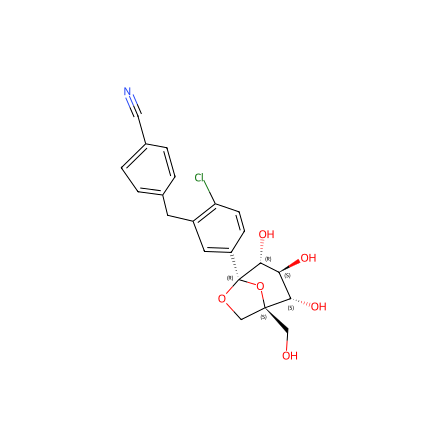 N#Cc1ccc(Cc2cc([C@@]34OC[C@](CO)(O3)[C@@H](O)[C@H](O)[C@H]4O)ccc2Cl)cc1